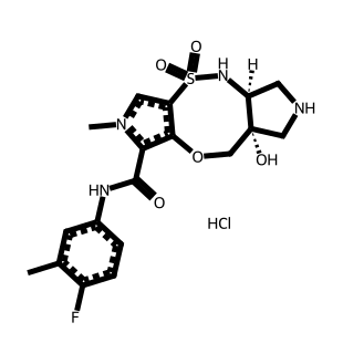 Cc1cc(NC(=O)c2c3c(cn2C)S(=O)(=O)N[C@H]2CNC[C@@]2(O)CO3)ccc1F.Cl